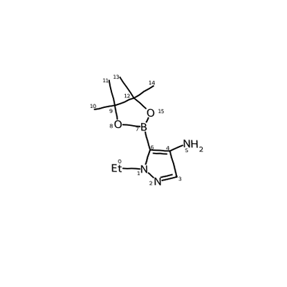 CCn1ncc(N)c1B1OC(C)(C)C(C)(C)O1